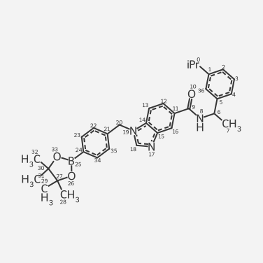 CC(C)c1cccc(C(C)NC(=O)c2ccc3c(c2)ncn3Cc2ccc(B3OC(C)(C)C(C)(C)O3)cc2)c1